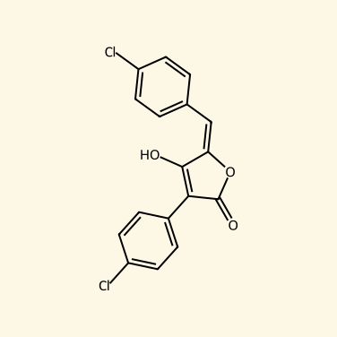 O=C1OC(=Cc2ccc(Cl)cc2)C(O)=C1c1ccc(Cl)cc1